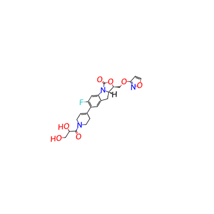 O=C(C(O)CO)N1CC=C(c2cc3c(cc2F)N2C(=O)O[C@@H](COc4ccon4)[C@@H]2C3)CC1